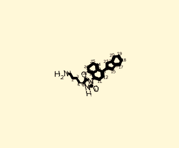 NCCCC[C@@H]1NC(=O)N(c2ccc(C3=Cc4ccccc4C3)c3ccccc23)C1=O